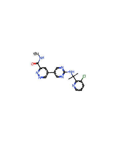 CC(C)(C)NC(=O)c1cc(-c2cnc(NC(C)(C)c3ncccc3Cl)nc2)cnn1